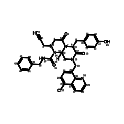 C#CCN1CC(=O)N2[C@@H](Cc3ccc(O)cc3)C(=O)N(Cc3ccc(Cl)c4cccnc34)C[C@@H]2N1C(=O)NCc1ccccc1